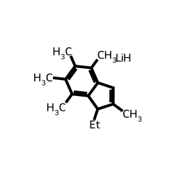 CC[C]1C(C)=Cc2c(C)c(C)c(C)c(C)c21.[LiH]